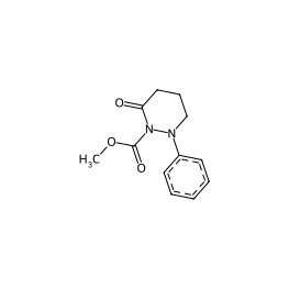 COC(=O)N1C(=O)CCCN1c1ccccc1